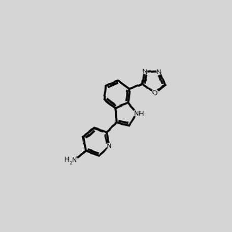 Nc1ccc(-c2c[nH]c3c(-c4nnco4)cccc23)nc1